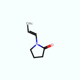 CC(=O)OC=CN1CCCC1=O